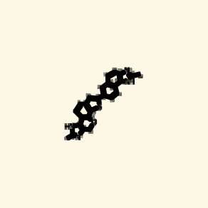 Cc1nc2c([nH]1)-c1ccc3cc(-c4ccc5c(ccc6nc(C)[nH]c65)c4)sc3c1OC2